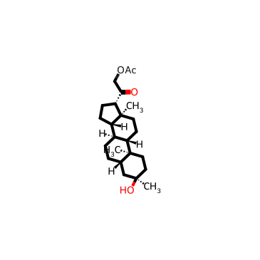 CC(=O)OCC(=O)[C@H]1CC[C@H]2[C@@H]3CC[C@H]4C[C@](C)(O)CC[C@]4(C)[C@H]3CC[C@]12C